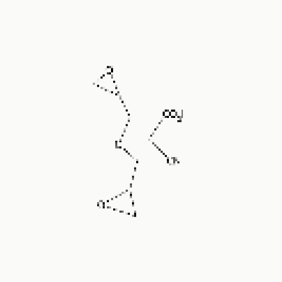 C(OCC1CO1)C1CO1.N#CCC(=O)O